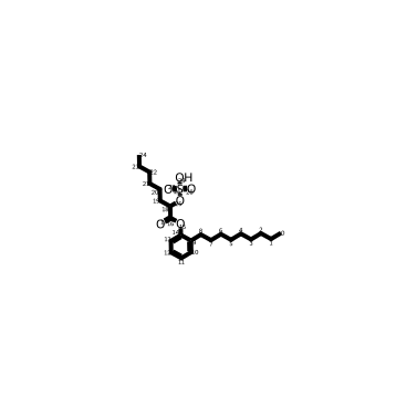 CCCCCCCCCc1ccccc1OC(=O)C(CCCCCC)OS(=O)(=O)O